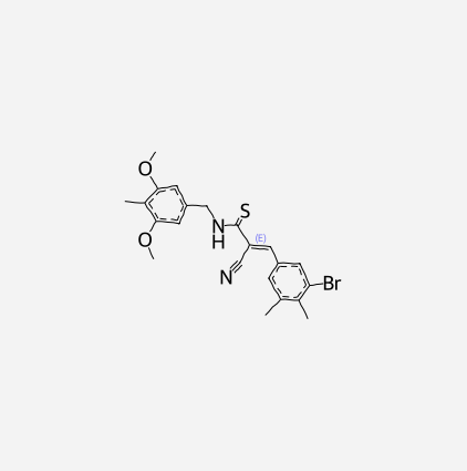 COc1cc(CNC(=S)/C(C#N)=C/c2cc(C)c(C)c(Br)c2)cc(OC)c1C